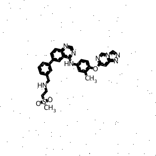 Cc1cc(Nc2ncnc3ccc(-c4cccc(CNCCS(C)(=O)=O)c4)cc23)ccc1Oc1cc2nncn2cn1